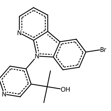 CC(C)(O)c1cnccc1-n1c2ccc(Br)cc2c2cccnc21